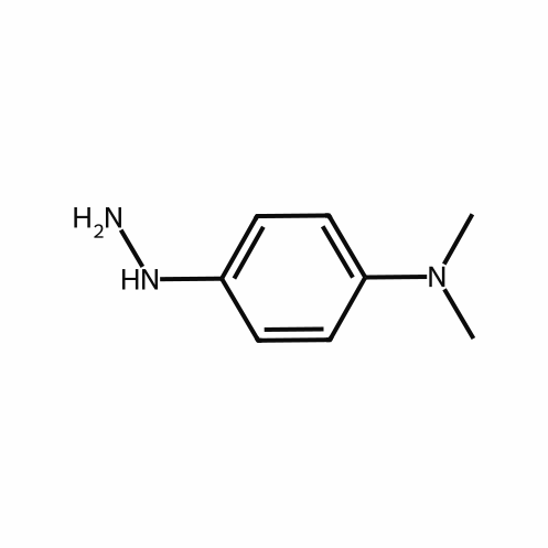 CN(C)c1ccc(NN)cc1